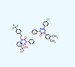 Cc1ccc(N(CCc2ccc(Cl)cc2)C(=O)C(N)c2ccccc2)cc1C.NC(C(=O)N(CCc1ccc(C(F)(F)F)cc1)c1cccc(C2(O)COC2)c1)c1ccccc1